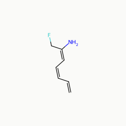 C=C/C=C\C=C(\N)CF